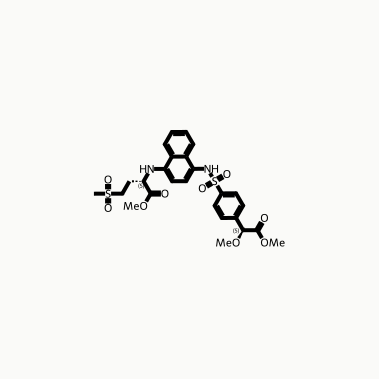 COC(=O)[C@H](CCS(C)(=O)=O)Nc1ccc(NS(=O)(=O)c2ccc([C@H](OC)C(=O)OC)cc2)c2ccccc12